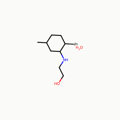 CC1CCC(C(C)C)C(NCCO)C1.O